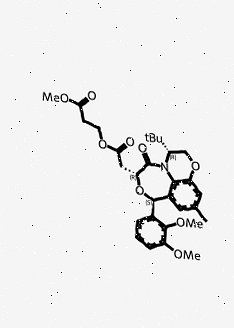 COC(=O)CCOC(=O)C[C@H]1O[C@H](c2cccc(OC)c2OC)c2cc(C)cc3c2N(C1=O)[C@H](C(C)(C)C)CO3